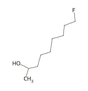 CC(O)CCCCCCCF